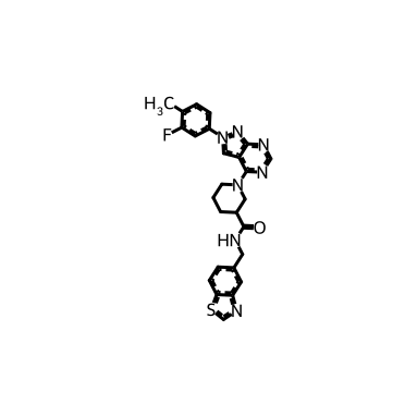 Cc1ccc(-n2cc3c(N4CCCC(C(=O)NCc5ccc6scnc6c5)C4)ncnc3n2)cc1F